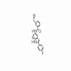 N#CCc1cccc(C(=O)Nc2cnc3[nH]c(-c4ccc(F)cc4)cc3c2)c1